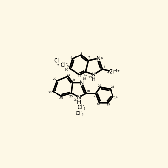 [Cl-].[Cl-].[Cl-].[Cl-].[Zr+4][c]1nc2ccccc2[nH]1.c1ccc(-c2nc3ccccc3[nH]2)cc1